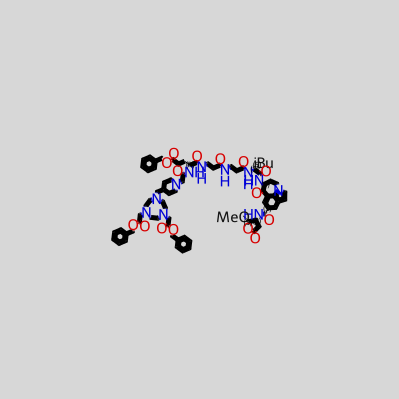 CC[C@H](C)[C@H](NC(=O)CCNC(=O)CCNC(=O)[C@@H](CCC(=O)OCc1ccccc1)NC(=O)CN1CCC(CN2CCN(CC(=O)OCc3ccccc3)CCN(CC(=O)OCc3ccccc3)CC2)CC1)C(=O)N[C@H]1CCn2ccc3c2C(=C[C@@H](C(=O)N[C@@H]2CC(=O)O[C@@H]2OC)C3)C1=O